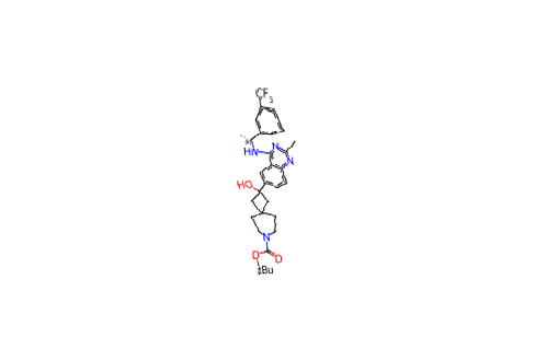 Cc1nc(N[C@H](C)c2cccc(C(F)(F)F)c2)c2cc(C3(O)CC4(CCN(C(=O)OC(C)(C)C)CC4)C3)ccc2n1